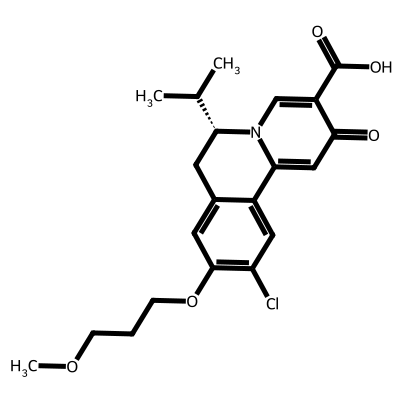 COCCCOc1cc2c(cc1Cl)-c1cc(=O)c(C(=O)O)cn1[C@@H](C(C)C)C2